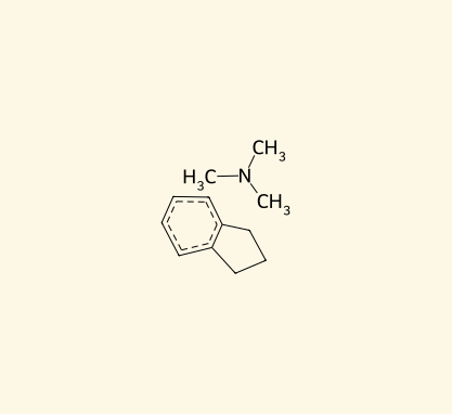 CN(C)C.c1ccc2c(c1)CCC2